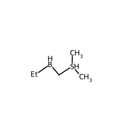 CCBC[SH](C)C